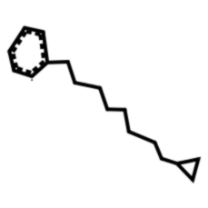 [c]1ccccc1CCCCCCCCC1CC1